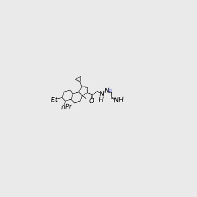 CCCC1C(CC)CCC2C1CCC1(C)C(C(=O)CN/N=C\C=N)CC(C3CC3)C21